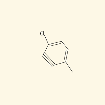 Cc1c#cc(Cl)cc1